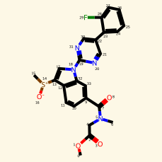 COC(=O)CN(C)C(=O)c1ccc2c([S+](C)[O-])cn(-c3ncc(-c4ccccc4F)cn3)c2c1